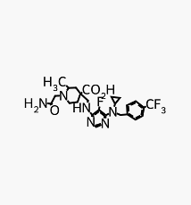 CC1CC(CNc2ncnc(N(Cc3ccc(C(F)(F)F)cc3)C3CC3)c2F)(C(=O)O)CCN1CC(N)=O